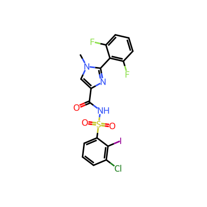 Cn1cc(C(=O)NS(=O)(=O)c2cccc(Cl)c2I)nc1-c1c(F)cccc1F